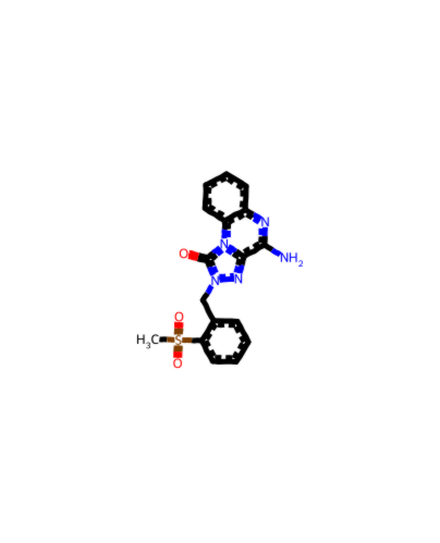 CS(=O)(=O)c1ccccc1Cn1nc2c(N)nc3ccccc3n2c1=O